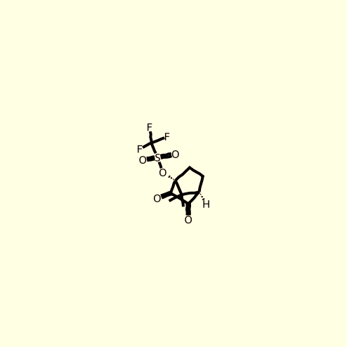 CC1(C)[C@H]2CC[C@]1(OS(=O)(=O)C(F)(F)F)C(=O)C2=O